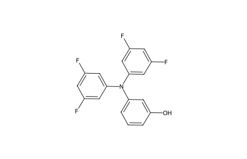 Oc1cccc(N(c2cc(F)cc(F)c2)c2cc(F)cc(F)c2)c1